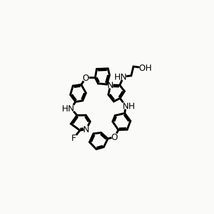 Fc1cc(Nc2ccc(Oc3ccccc3)cc2)ccn1.OCCNc1cc(Nc2ccc(Oc3ccccc3)cc2)ccn1